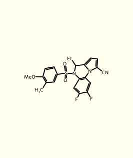 CCC1c2ccc(C#N)n2-c2cc(F)c(F)cc2N1S(=O)(=O)c1ccc(OC)c(C)c1